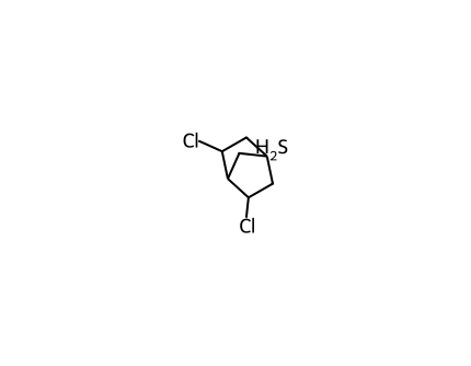 ClC1CC2CC(Cl)C1C2.S